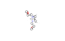 Cc1cc2c3c(c1)N(c1cccc(-c4cccc5c4oc4ccccc45)c1)c1cc(C(C)(C)C)ccc1B3c1ccc(C(C)(C)C)cc1N2c1cccc(-c2cccc3c2oc2ccccc23)c1